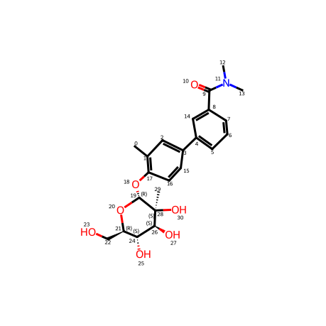 Cc1cc(-c2cccc(C(=O)N(C)C)c2)ccc1O[C@H]1O[C@H](CO)[C@@H](O)[C@H](O)[C@]1(C)O